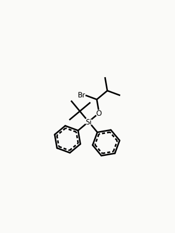 CC(C)C(Br)O[Si](c1ccccc1)(c1ccccc1)C(C)(C)C